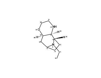 CCN1C2CC[C@H]1[C@@H]1NCCO[C@@H]1C2